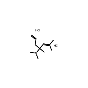 C=CCC(C)(C=C(C)C)N(C)C.Cl.Cl